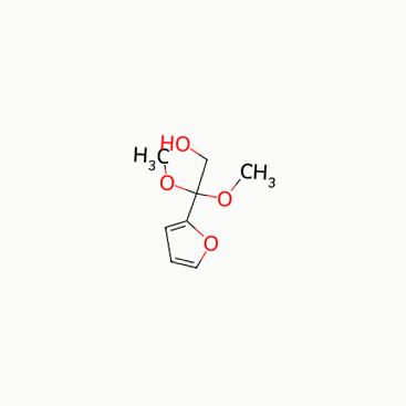 COC(CO)(OC)c1ccco1